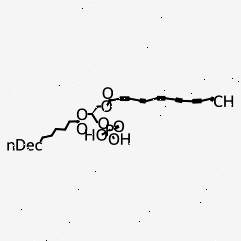 C#CC#CC#CC#CC#CC#CC(=O)OC[C@@H](COP(=O)(O)O)OC(=O)CCCCCCCCCCCCCCC